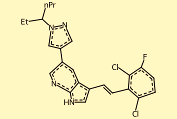 CCCC(CC)n1cc(-c2cnc3[nH]cc(/C=C/c4c(Cl)ccc(F)c4Cl)c3c2)cn1